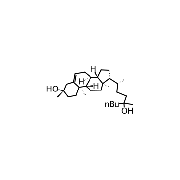 CCCCC(C)(O)CC[C@@H](C)[C@H]1CC[C@H]2[C@@H]3CC=C4C[C@@](C)(O)CC[C@]4(C)[C@H]3CC[C@]12C